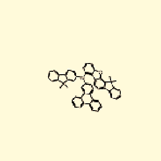 CC1(C)c2ccccc2-c2ccc(N(c3ccc4c5ccccc5c5ccccc5c4c3)c3cccc4oc5c6c(ccc5c34)-c3ccccc3C6(C)C)cc21